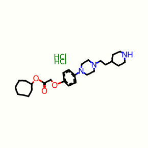 Cl.Cl.O=C(COc1ccc(N2CCN(CCC3CCNCC3)CC2)cc1)OC1CCCCCC1